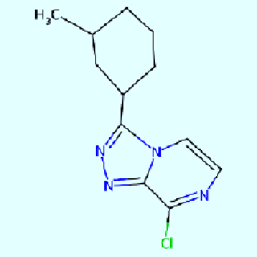 CC1CCCC(c2nnc3c(Cl)nccn23)C1